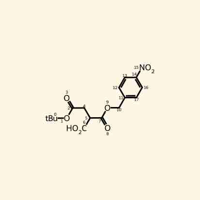 CC(C)(C)OC(=O)CC(C(=O)O)C(=O)OCc1ccc([N+](=O)[O-])cc1